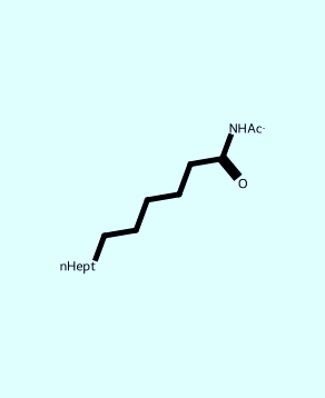 CCCCCCCCCCCCC(=O)[N]C(C)=O